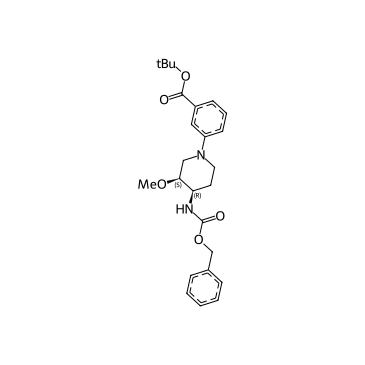 CO[C@H]1CN(c2cccc(C(=O)OC(C)(C)C)c2)CC[C@H]1NC(=O)OCc1ccccc1